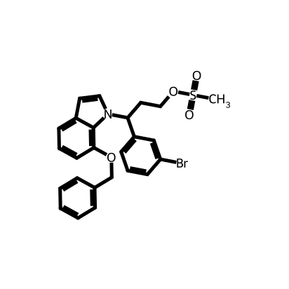 CS(=O)(=O)OCCC(c1cccc(Br)c1)n1ccc2cccc(OCc3ccccc3)c21